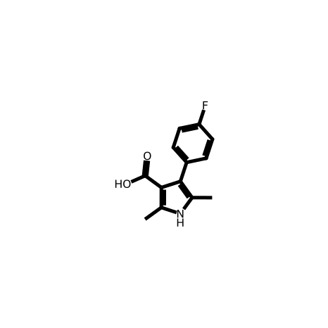 Cc1[nH]c(C)c(-c2ccc(F)cc2)c1C(=O)O